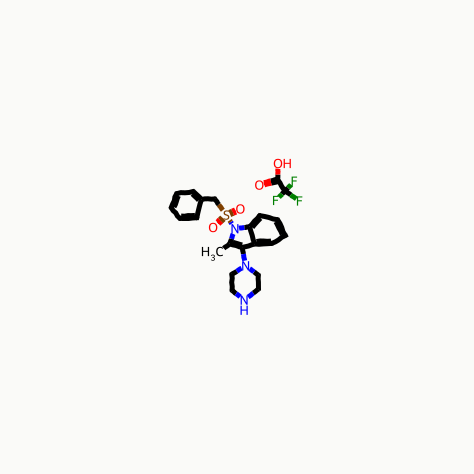 Cc1c(N2CCNCC2)c2ccccc2n1S(=O)(=O)Cc1ccccc1.O=C(O)C(F)(F)F